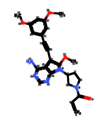 C=CC(=O)N1CCC(n2c(OC)c(C#Cc3cc(OC)cc(OC)c3)c3c(N)ncnc32)C1